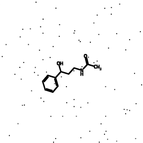 CC(=O)NCCC(O)c1ccccc1